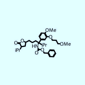 COCCCOc1cc(C(CCCC2CC(C(C)C)C(=O)O2)(NC(=O)OCc2ccccc2)C(C)C)ccc1OC